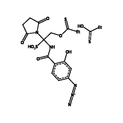 CCC(=S)OCC(NC(=O)c1ccc(N=[N+]=[N-])cc1O)(N1C(=O)CCC1=O)S(=O)(=O)O.CCC(O)=S